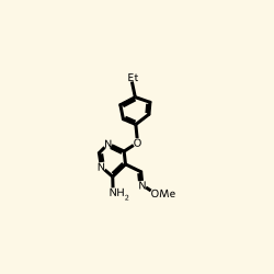 CCc1ccc(Oc2ncnc(N)c2C=NOC)cc1